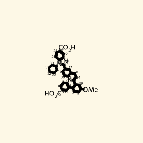 COc1ccc(-c2cccc(C(=O)O)c2)c(-c2ccc3cc(-c4nc5cc(C(=O)O)ccc5n4C4CCCCC4)ccc3n2)c1